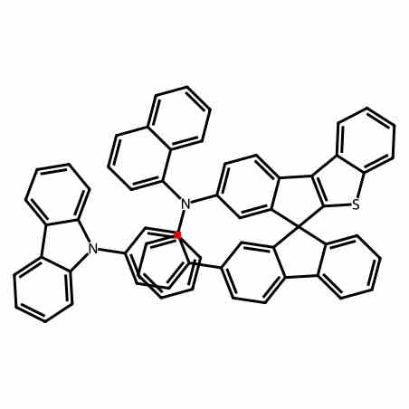 c1ccc(N(c2ccc3c(c2)C2(c4ccccc4-c4ccc(-c5ccc(-n6c7ccccc7c7ccccc76)cc5)cc42)c2sc4ccccc4c2-3)c2cccc3ccccc23)cc1